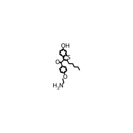 CCCCCc1sc2cc(O)ccc2c1C(=O)c1ccc(OCCN)cc1